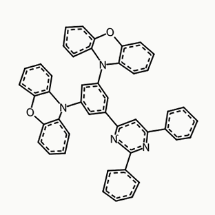 c1ccc(-c2cc(-c3cc(N4c5ccccc5Oc5ccccc54)cc(N4c5ccccc5Oc5ccccc54)c3)nc(-c3ccccc3)n2)cc1